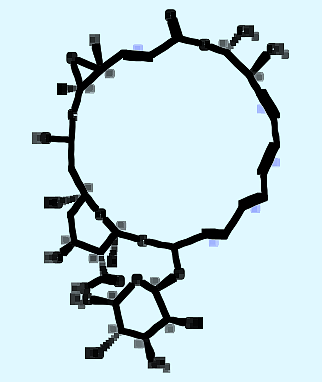 C[C@H]1/C=C/C=C/C=C/C=C/C(O[C@@H]2O[C@H](C)[C@@H](O)[C@H](N)[C@@H]2O)C[C@@H]2O[C@](O)(CC(O)C[C@H]3O[C@@H]3/C=C/C(=O)O[C@@H]1C)C[C@H](O)[C@H]2C(=O)O